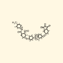 Cc1ccc(NC(=O)c2ccc(Oc3ccc(C(C)(C)c4ccc(Oc5ccc6c(c5)C(=O)NC6=O)cc4)cc3)cc2C=O)cc1